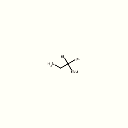 CCCCC(CC)(CN)CCC